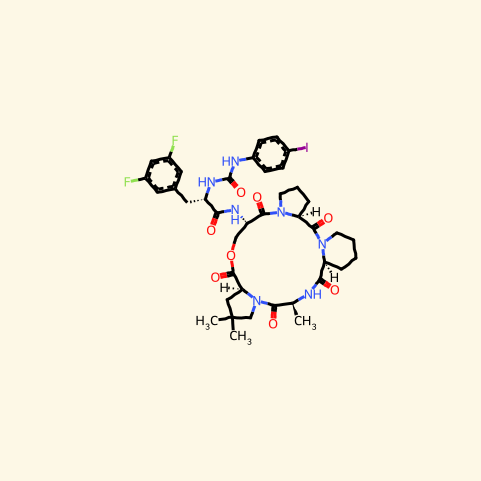 C[C@@H]1NC(=O)[C@@H]2CCCCN2C(=O)[C@@H]2CCCN2C(=O)[C@@H](NC(=O)[C@H](Cc2cc(F)cc(F)c2)NC(=O)Nc2ccc(I)cc2)COC(=O)[C@@H]2CC(C)(C)CN2C1=O